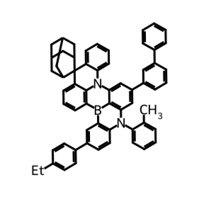 CCc1ccc(-c2ccc3c(c2)B2c4cccc5c4N(c4ccccc4C54C5CC6CC(C5)CC4C6)c4cc(-c5cccc(-c6ccccc6)c5)cc(c42)N3c2ccccc2C)cc1